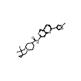 Cn1cc(-c2ccc3cnc(NC(=O)C4CCN(CC5(C(F)(F)F)CC5)CC4)cc3n2)cn1